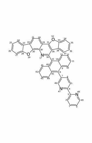 c1ccc(-c2ccc(-c3c4ccccc4c(-c4nc5c(ccc6c7ccccc7oc65)c5oc6ccccc6c45)c4ccccc34)cn2)nc1